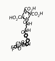 N#C[C@@H]1CC(F)(F)CN1C(=O)CNC(=O)c1ccnc2ccc(-c3ccc(C(=O)NCCCNC(=O)CN4CCN(CC(=O)O)CCN(CC(=O)O)CCN(CC(=O)O)CC4)cc3)cc12